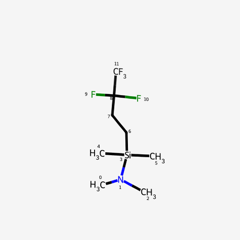 CN(C)[Si](C)(C)CCC(F)(F)C(F)(F)F